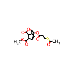 COC(=O)C1C2CC3C(OC(=O)C31)C2OC(=O)CCSC(C)=O